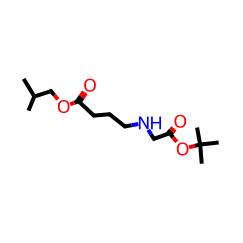 CC(C)COC(=O)CCCNCC(=O)OC(C)(C)C